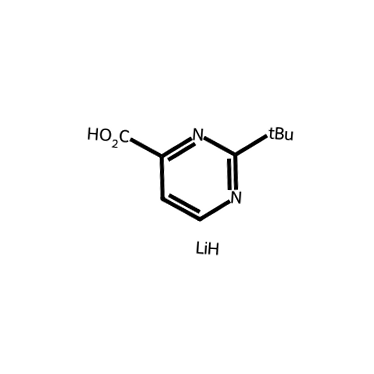 CC(C)(C)c1nccc(C(=O)O)n1.[LiH]